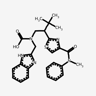 CN(C(=O)c1csc(C(CN(Cc2nc3ccccc3[nH]2)C(=O)O)C(C)(C)C)n1)c1ccccc1